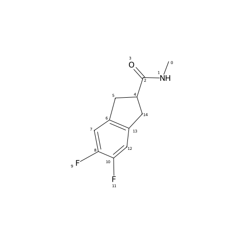 CNC(=O)C1Cc2cc(F)c(F)cc2C1